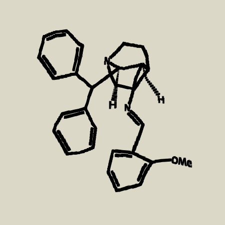 COc1ccccc1C=N[C@@H]1C2CCN(CC2)[C@@H]1C(c1ccccc1)c1ccccc1